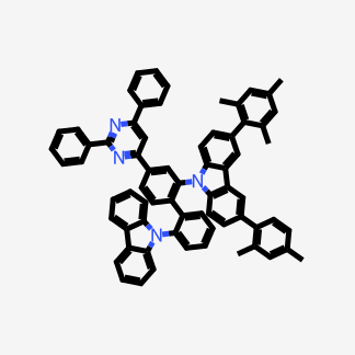 Cc1ccc(-c2ccc3c(c2)c2cc(-c4c(C)cc(C)cc4C)ccc2n3-c2cc(-c3cc(-c4ccccc4)nc(-c4ccccc4)n3)ccc2-c2ccccc2-n2c3ccccc3c3ccccc32)c(C)c1